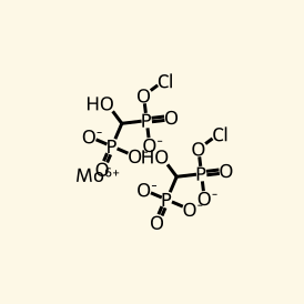 O=P([O-])([O-])C(O)P(=O)([O-])OCl.O=P([O-])([O-])C(O)P(=O)([O-])OCl.[Mo+6]